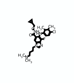 CC1C(Cl)=CC=C(Nc2c(C(=O)NOCC3CC3)cc3c(ncn3CCCCN(C)C)c2F)C1C